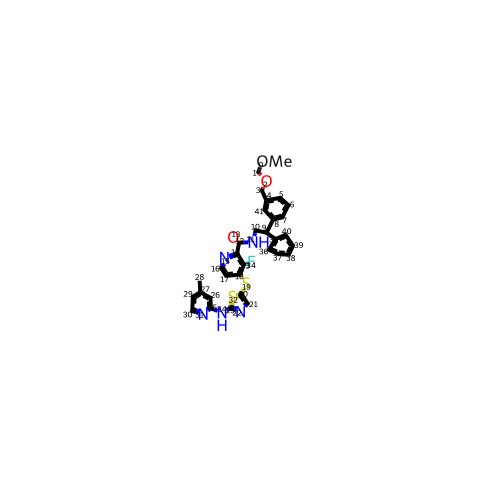 COCOCc1cccc(C(CNC(=O)c2nccc(Sc3cnc(Nc4cc(C)ccn4)s3)c2F)c2ccccc2)c1